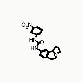 O=C(Nc1cccc([N+](=O)[O-])c1)Nc1ccc2c(c1)C1CCCN1CC2